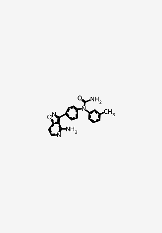 Cc1cccc(N(C(N)=O)c2ccc(-c3noc4ccnc(N)c34)cc2)c1